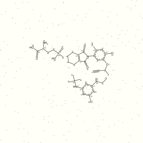 C#CC(C)Oc1cc(N2C(=O)C3=C(CCCC3)C2=O)c(F)cc1Cl.CCNc1nc(Cl)nc(NC(C)(C)C)n1.CP(=O)(O)CCC(N)C(=O)O